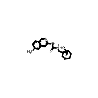 Cc1ccc2cnc(NC(=S)NCC3(O)CN4CCC3CC4)cc2c1